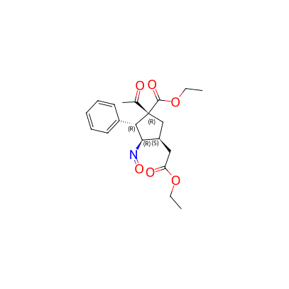 CCOC(=O)C[C@@H]1C[C@@](C(C)=O)(C(=O)OCC)[C@@H](c2ccccc2)[C@@H]1N=O